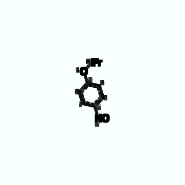 CC(C)Oc1ccc(N=O)cc1